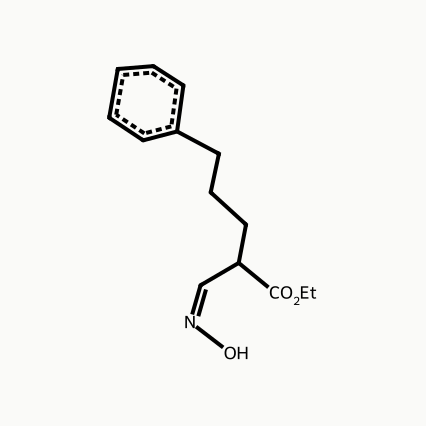 CCOC(=O)C(/C=N\O)CCCc1ccccc1